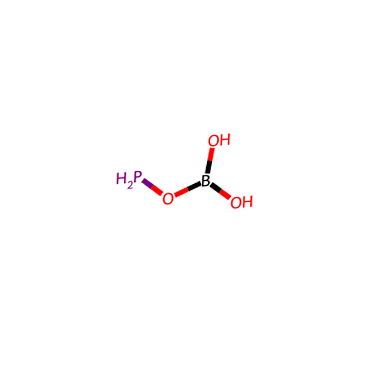 OB(O)OP